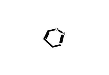 C1=CON=IC1